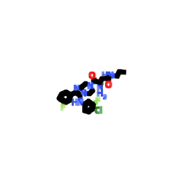 CCCNC(=O)C[C@H](N)C(=O)N1CCn2c(nc(-c3cccc(F)c3)c2Nc2ccc(Cl)c(F)c2)C1